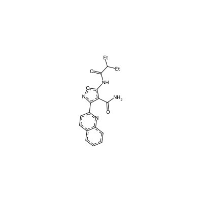 CCC(CC)C(=O)Nc1onc(-c2ccc3ccccc3n2)c1C(N)=O